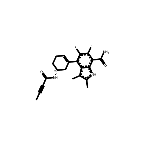 CC#CC(=O)N[C@@H]1CCC=C(c2c(F)c(F)c(C(N)=O)c3[nH]c(C)c(C)c23)C1